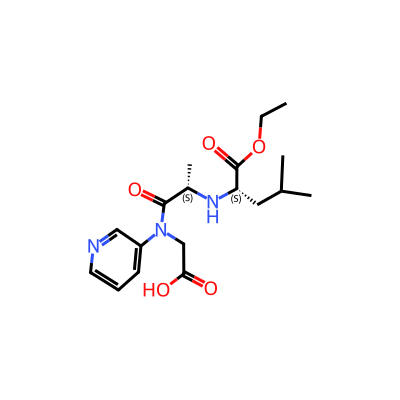 CCOC(=O)[C@H](CC(C)C)N[C@@H](C)C(=O)N(CC(=O)O)c1cccnc1